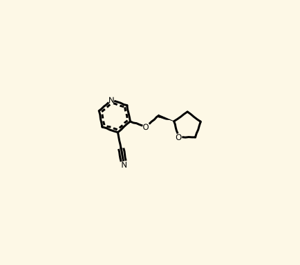 N#Cc1ccncc1OC[C@H]1CCCO1